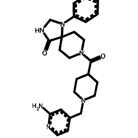 Nc1cc(CN2CCC(C(=O)N3CCC4(CC3)C(=O)NCN4c3ccccc3)CC2)ccn1